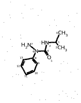 CC(C)NC(=O)N(N)c1ccccc1